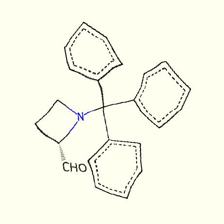 O=C[C@@H]1CCN1C(c1ccccc1)(c1ccccc1)c1ccccc1